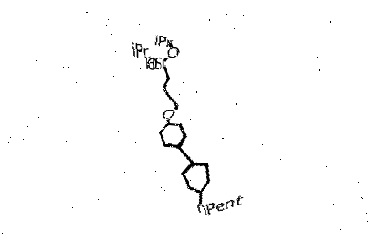 CCCCCC1CCC(C2CCC(OCCC[SiH](OC(C)C)OC(C)C)CC2)CC1